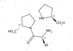 CC(C)[C@H](N)C(=O)N1CCC[C@H]1C(=O)O.O=C(O)[C@@H]1CCCN1